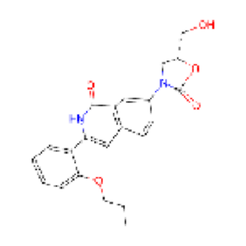 CCCOc1ccccc1-c1cc2ccc(N3C[C@H](CO)OC3=O)cc2c(=O)[nH]1